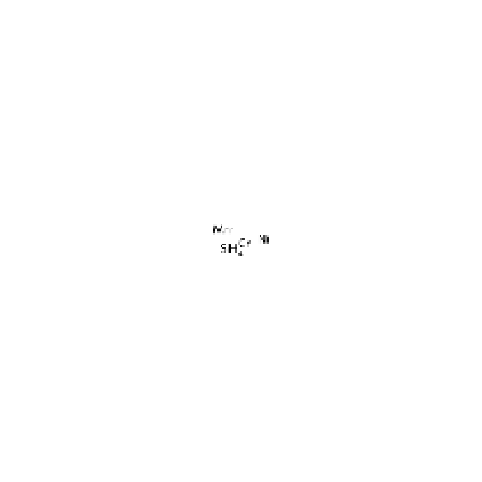 [Cr].[Mn].[Ni].[SiH4]